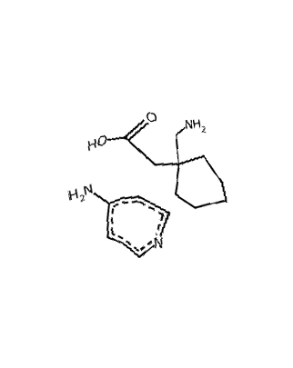 NCC1(CC(=O)O)CCCCC1.Nc1ccncc1